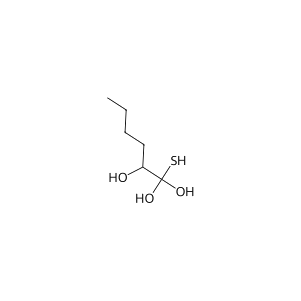 CCCCC(O)C(O)(O)S